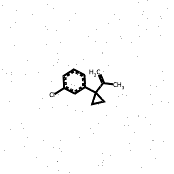 C=C(C)C1(c2cccc(Cl)c2)CC1